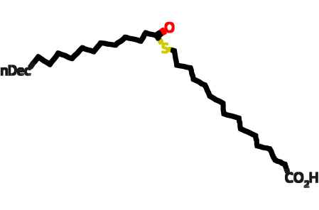 CCCCCCCCCCCCCCCCCCCCCC(=O)SCCCCCCCCCCCCCCCC(=O)O